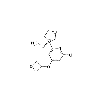 CO[C@@]1(c2cc(OC3COC3)cc(Cl)n2)CCOC1